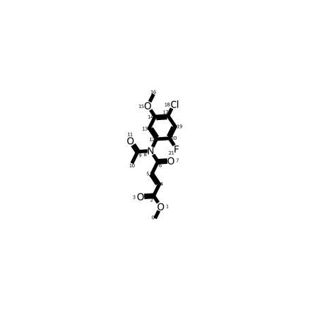 COC(=O)C=CC(=O)N(C(C)=O)c1cc(OC)c(Cl)cc1F